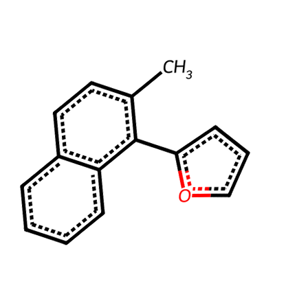 Cc1ccc2ccccc2c1-c1ccco1